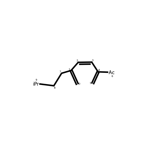 C=C(/C=C\C(=C)C(C)=O)CCC(C)C